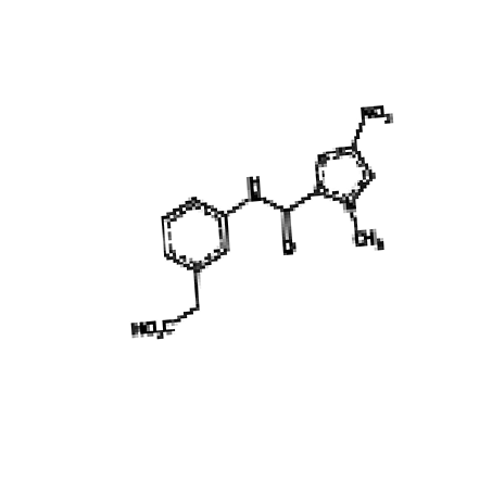 Cn1cc([N+](=O)[O-])cc1C(=O)Nc1cccc(CC(=O)O)c1